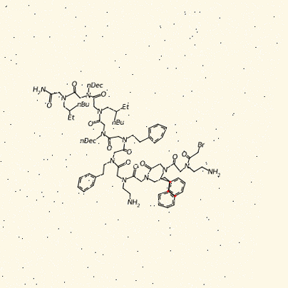 CCCCCCCCCCN(CC(=O)N(CC(=O)N(CCCCCCCCCC)CC(=O)N(CC(N)=O)CC(CC)CCCC)CC(CC)CCCC)C(=O)CN(CCc1ccccc1)C(=O)CN(CCc1ccccc1)C(=O)CN(CCN)C(=O)CN(CCc1ccccc1)C(=O)CN(CCc1ccccc1)C(=O)CN(CCN)C(=O)CBr